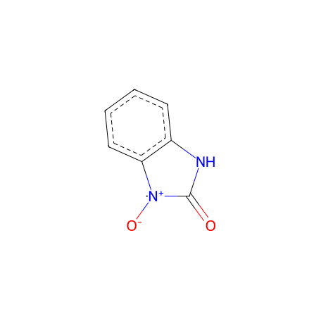 O=C1Nc2ccccc2[N+]1[O-]